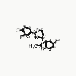 Cc1nc2ccc(F)cc2n1-c1ccnc(-c2ccc(Cl)c(F)c2)n1